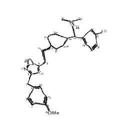 COc1ccc(Cc2noc(/C=C/C3CCC(C(c4cccc(F)c4)N(C)C)CC3)n2)cc1